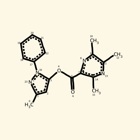 Cc1cc(OC(=O)c2nc(C)c(C)nc2C)n(-c2ccccc2)n1